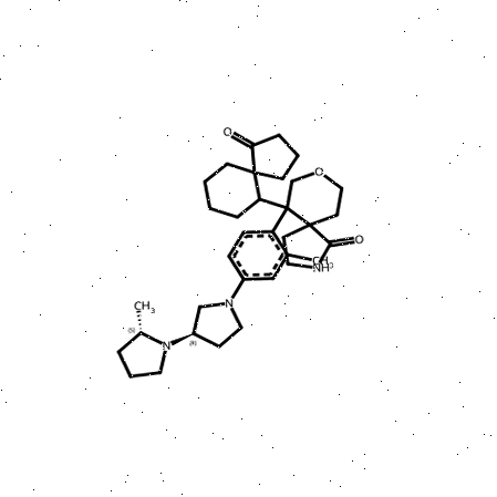 Cc1cc(N2CC[C@@H](N3CCC[C@@H]3C)C2)ccc1C1(C2CCCCC23CCCC3=O)COCCC12CCNC2=O